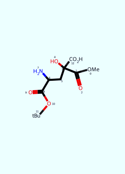 COC(=O)C(O)(CC(N)C(=O)OC(C)(C)C)C(=O)O